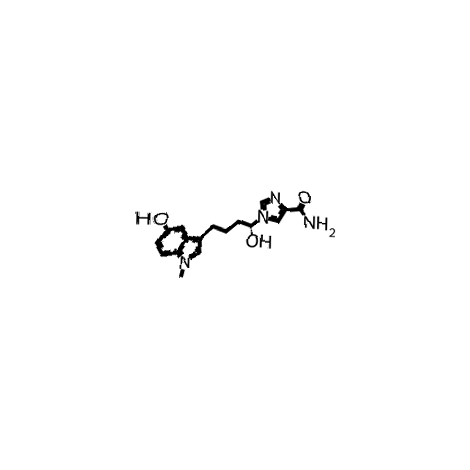 Cn1cc(CCC[C@@H](O)n2cnc(C(N)=O)c2)c2cc(O)ccc21